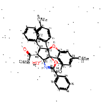 COC(=O)[C@@H]1[C@@H](c2ccccc2)[C@]2(c3ccc(OC)cc3)Oc3cc(OC)cc(OC)c3[C@@]23OC(c2ccccc2)=N[C@@]13O